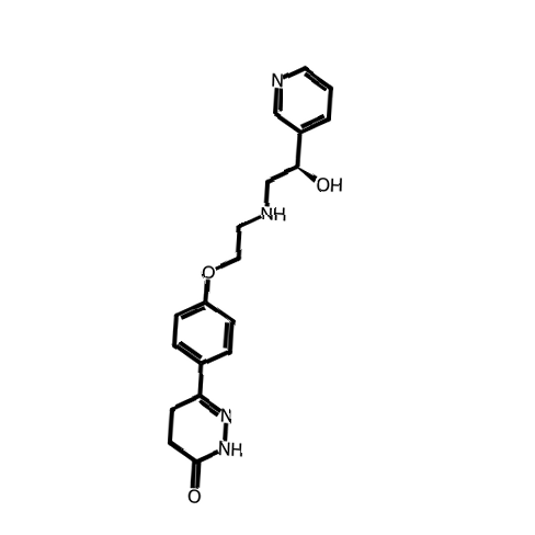 O=C1CCC(c2ccc(OCCNC[C@H](O)c3cccnc3)cc2)=NN1